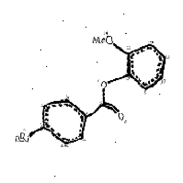 CCCCc1ccc(C(=O)Oc2ccccc2OC)cc1